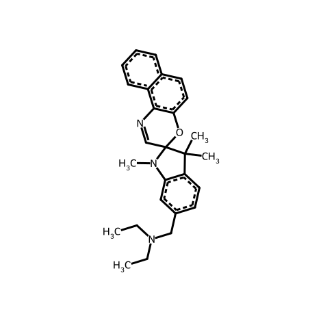 CCN(CC)Cc1ccc2c(c1)N(C)C1(C=Nc3c(ccc4ccccc34)O1)C2(C)C